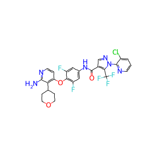 Nc1nccc(Oc2c(F)cc(NC(=O)c3cnn(-c4ncccc4Cl)c3C(F)(F)F)cc2F)c1C1CCOCC1